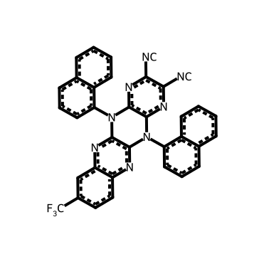 [C-]#[N+]c1nc2c(nc1[N+]#[C-])N(c1cccc3ccccc13)c1nc3cc(C(F)(F)F)ccc3nc1N2c1cccc2ccccc12